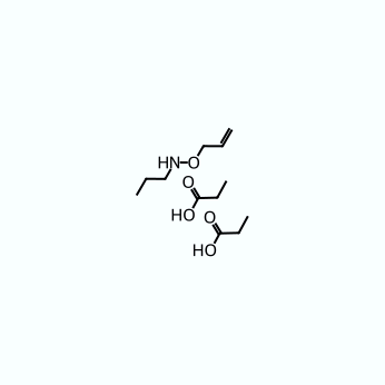 C=CCONCCC.CCC(=O)O.CCC(=O)O